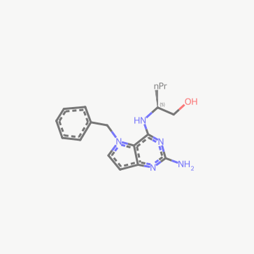 CCC[C@@H](CO)Nc1nc(N)nc2ccn(Cc3ccccc3)c12